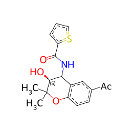 CC(=O)c1ccc2c(c1)C(NC(=O)c1cccs1)[C@H](O)C(C)(C)O2